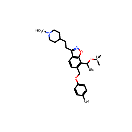 C[SiH](C)OC(c1c(COc2ccc(C#N)cc2)ccc2c(CCC3CCN(C(=O)O)CC3)noc12)C(C)(C)C